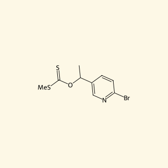 CSC(=S)OC(C)c1ccc(Br)nc1